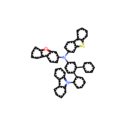 c1ccc(-c2cc(N(c3ccc4c(c3)oc3ccccc34)c3ccc4c(c3)sc3ccccc34)ccc2-c2ccccc2-n2c3ccccc3c3ccccc32)cc1